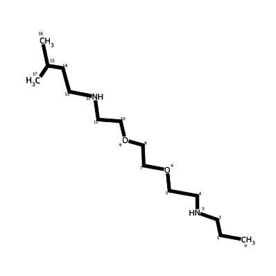 CCCNCCOCCOCCNCCC(C)C